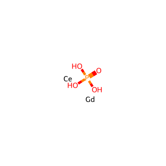 O=P(O)(O)O.[Ce].[Gd]